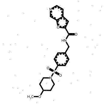 COC1CCN(S(=O)(=O)c2ccc(CNC(=O)c3cc4ccncc4o3)cc2)CC1